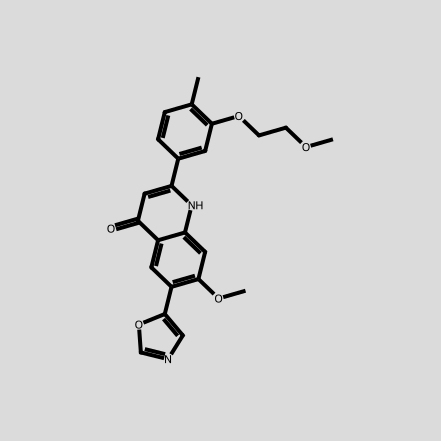 COCCOc1cc(-c2cc(=O)c3cc(-c4cnco4)c(OC)cc3[nH]2)ccc1C